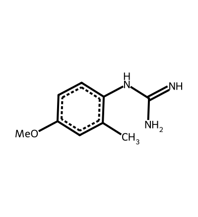 COc1ccc(NC(=N)N)c(C)c1